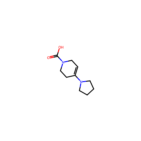 O=C(O)N1CC=C(N2CCCC2)CC1